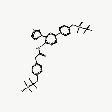 CC(C)(Cc1ccc(CC(=O)Nc2ncc(-c3ccc(O[Si](C)(C)C(C)(C)C)cc3)nc2-c2ccsc2)cc1)[Si](C)(C)O